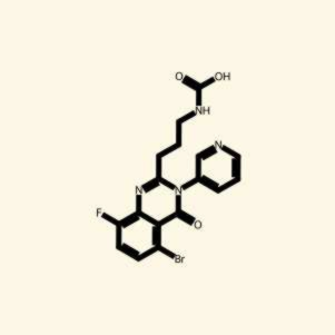 O=C(O)NCCCc1nc2c(F)ccc(Br)c2c(=O)n1-c1cccnc1